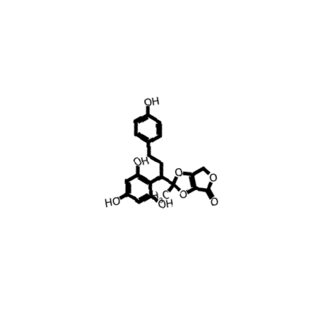 CC1(C(CCc2ccc(O)cc2)c2c(O)cc(O)cc2O)OC2=C(O1)C(=O)OC2